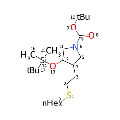 CCCCCCSCCC1CN(C(=O)OC(C)(C)C)CC1O[Si](C)(C)C(C)(C)C